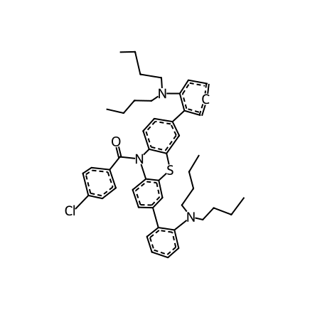 CCCCN(CCCC)c1ccccc1-c1ccc2c(c1)Sc1cc(-c3ccccc3N(CCCC)CCCC)ccc1N2C(=O)c1ccc(Cl)cc1